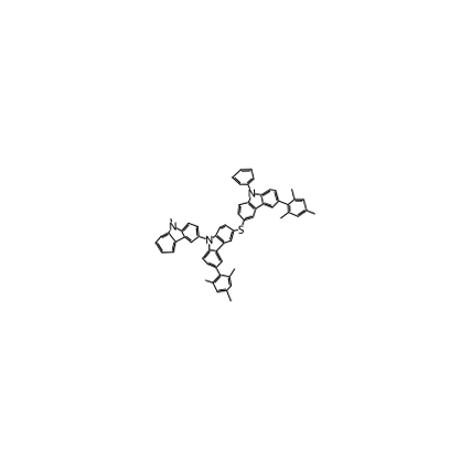 Cc1cc(C)c(-c2ccc3c(c2)c2cc(Sc4ccc5c(c4)c4cc(-c6c(C)cc(C)cc6C)ccc4n5-c4ccc5c(c4)c4ccccc4n5C)ccc2n3-c2ccccc2)c(C)c1